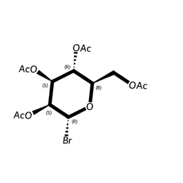 CC(=O)OC[C@H]1O[C@H](Br)[C@@H](OC(C)=O)[C@@H](OC(C)=O)[C@@H]1OC(C)=O